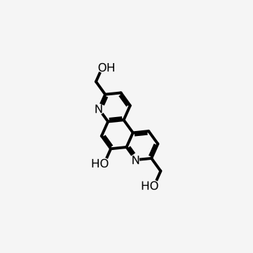 OCc1ccc2c(cc(O)c3nc(CO)ccc32)n1